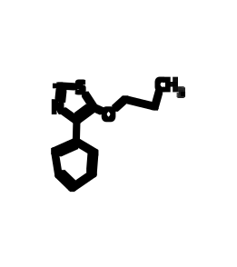 CCCOc1s[c]nc1-c1ccccc1